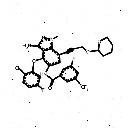 Cn1nc(N)c2c(Oc3cc(F)ccc3Cl)c(NC(=O)c3cc(F)cc(C(F)(F)F)c3)cc(C#CCOC3CCCCO3)c21